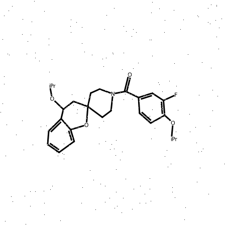 CC(C)Oc1ccc(C(=O)N2CCC3(CC2)CC(OC(C)C)c2ccccc2O3)cc1F